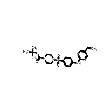 C=Cc1cnc(Nc2ccc(S(=O)(=O)N3CCN(C(=O)OC(C)(C)C)CC3)cc2)nc1